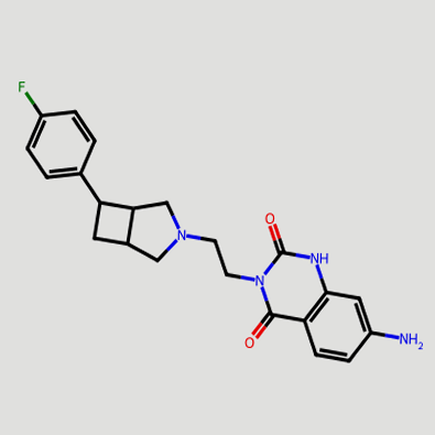 Nc1ccc2c(=O)n(CCN3CC4CC(c5ccc(F)cc5)C4C3)c(=O)[nH]c2c1